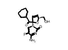 Nc1nc(=O)n([C@@]2(C(=O)C3CCCCC3)C=C[C@@H](CO)O2)cc1F